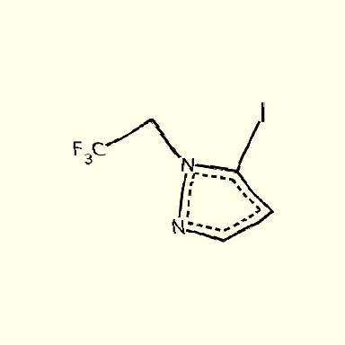 FC(F)(F)Cn1nccc1I